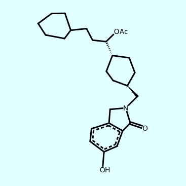 CC(=O)OC(CCC1CCCCC1)[C@H]1CC[C@H](CN2Cc3ccc(O)cc3C2=O)CC1